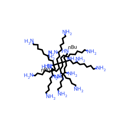 CCCCNCCC(CCC(N)CCCCCN)(CCC(N)CCCCCN)C(CCC(N)CCCCCN)(CCC(N)CCCCCN)C(CCC(N)CCCCCN)(CCC(N)CCCCCN)C(CCC(N)CCCCCN)(CCC(N)CCCCCN)NCCCC